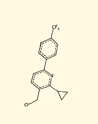 FC(F)(F)c1ccc(-c2ccc(CCl)c(C3CC3)n2)cc1